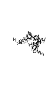 COc1ccc2[nH]c(-c3n[nH]c4ncc(-c5cncc(CCCCN)c5)cc34)nc2c1